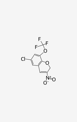 O=[N+]([O-])C1=Cc2cc(Cl)cc(OC(F)(F)F)c2OC1